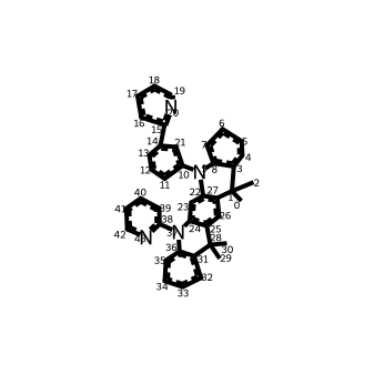 CC1(C)c2ccccc2N(c2cccc(-c3ccccn3)c2)c2cc3c(cc21)C(C)(C)c1ccccc1N3c1ccccn1